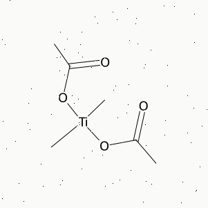 CC(=O)[O][Ti]([CH3])([CH3])[O]C(C)=O